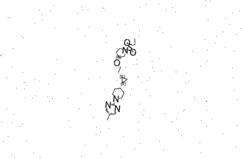 CCS(=O)(=O)N1CC[C@@H](OCC[C@@H]2C[C@@H]2C2CCN(c3ncc(C)cn3)CC2)C1